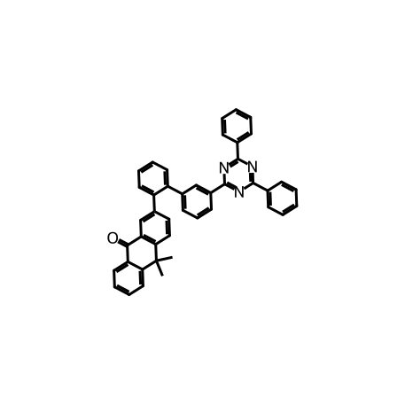 CC1(C)c2ccccc2C(=O)c2cc(-c3ccccc3-c3cccc(-c4nc(-c5ccccc5)nc(-c5ccccc5)n4)c3)ccc21